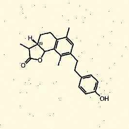 Cc1cc(CCc2ccc(O)cc2)c(C)c2c1CC[C@H]1C(C)C(=O)OC21